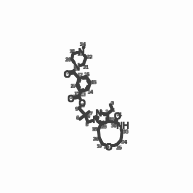 CCc1nn(CC(C)(C)COC(=O)c2cccc(C(=O)N3CCN(C)CC3)c2)c2c1C(=O)NCCCOCCC2